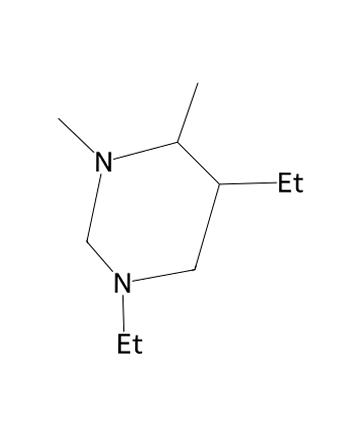 CCC1CN(CC)CN(C)C1C